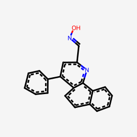 O/N=C/c1cc(-c2ccccc2)c2ccc3ccccc3c2n1